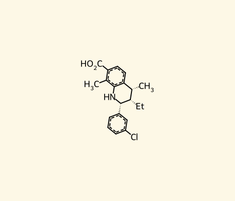 CC[C@H]1[C@@H](C)c2ccc(C(=O)O)c(C)c2N[C@H]1c1cccc(Cl)c1